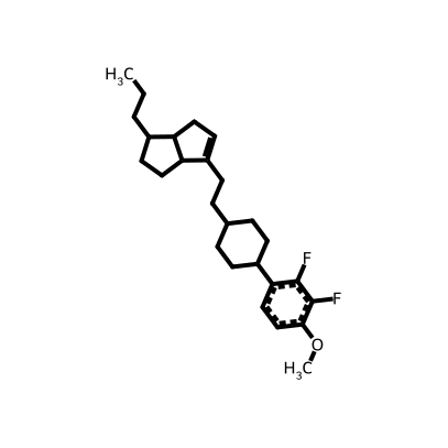 CCCC1CCC2C(CCC3CCC(c4ccc(OC)c(F)c4F)CC3)=CCC12